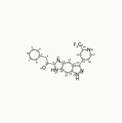 O=C(Cc1ccccc1)c1nc2cc3c(-c4ccnc(C(F)(F)F)c4)n[nH]c3cc2[nH]1